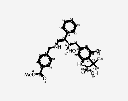 COC(=O)c1ccc(CN/C=C(/c2ccccc2)N(C=O)Cc2ccc(C(F)(F)P(=O)(O)O)c(Br)c2)cc1